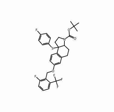 CC(C)(C)OC(=O)N1CCC2(Sc3ccc(F)cc3)c3ccc(OCc4c(F)cccc4C(F)(F)F)cc3CCC12